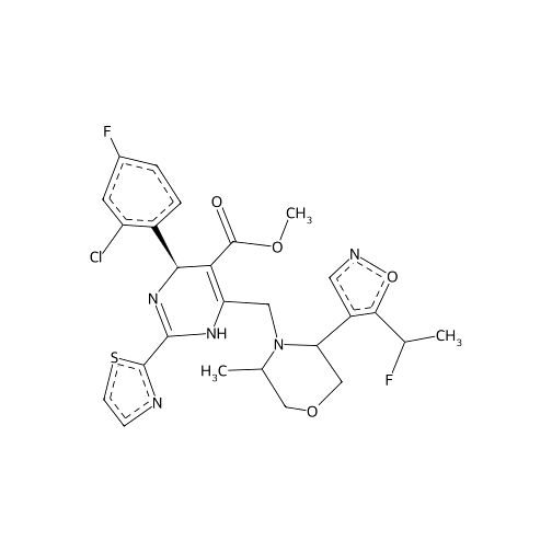 COC(=O)C1=C(CN2C(C)COCC2c2cnoc2C(C)F)NC(c2nccs2)=N[C@H]1c1ccc(F)cc1Cl